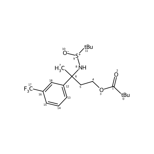 CC(C)(C)C(=O)OCCC(C)(N[S+]([O-])C(C)(C)C)c1cccc(C(F)(F)F)c1